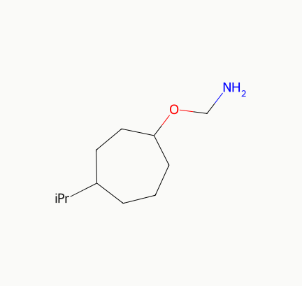 CC(C)C1CCCC(OCN)CC1